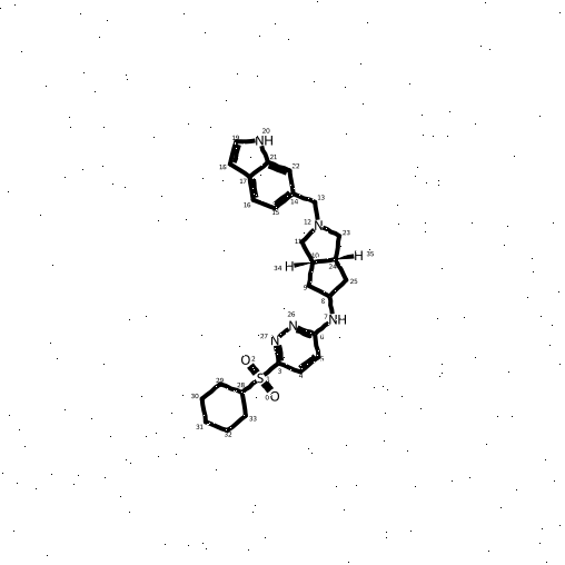 O=S(=O)(c1ccc(NC2C[C@@H]3CN(Cc4ccc5cc[nH]c5c4)C[C@@H]3C2)nn1)C1CCCCC1